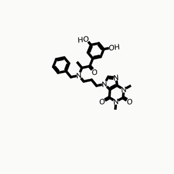 CC(C(=O)c1cc(O)cc(O)c1)N(CCCn1cnc2c1c(=O)n(C)c(=O)n2C)Cc1ccccc1